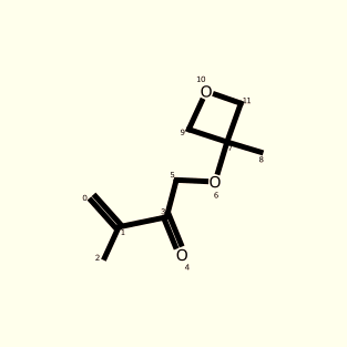 C=C(C)C(=O)COC1(C)COC1